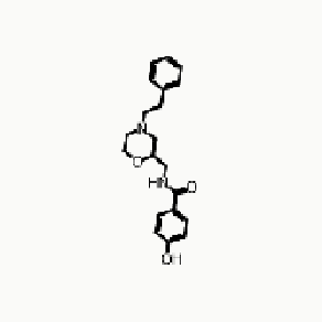 O=C(NCC1CN(CCc2ccccc2)CCO1)c1ccc(O)cc1